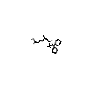 CC(=CCCC(C)=CCO[Si](c1ccccc1)(c1ccccc1)C(C)(C)C)CO